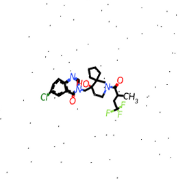 CC(CC(F)(F)F)C(=O)N1CCC(O)(Cn2cnc3ccc(Cl)cc3c2=O)C2(CCCC2)C1